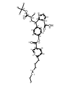 CCCCCCCc1ccc(C(=O)Oc2ccc(C(CN(C)C(=O)OC(C)(C)C)c3nccn3C(=O)O)cc2)cc1